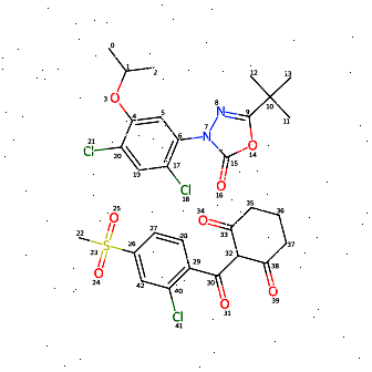 CC(C)Oc1cc(-n2nc(C(C)(C)C)oc2=O)c(Cl)cc1Cl.CS(=O)(=O)c1ccc(C(=O)C2C(=O)CCCC2=O)c(Cl)c1